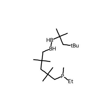 CCP(C)CC(C)(C)CC(C)(C)CBBC(C)(C)CC(C)(C)C